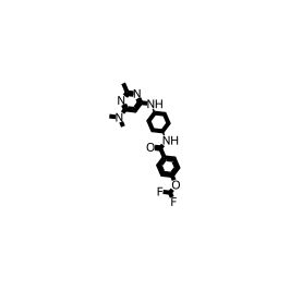 Cc1nc(N[C@H]2CC[C@@H](NC(=O)c3ccc(OC(F)F)cc3)CC2)cc(N(C)C)n1